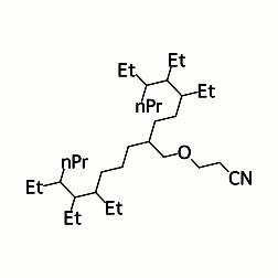 CCCC(CC)C(CC)C(CC)CCCC(CCC(CC)C(CC)C(CC)CCC)COCCC#N